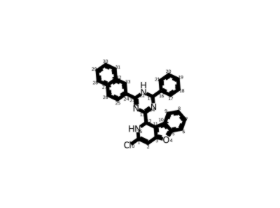 ClC1=Cc2oc3ccccc3c2C(C2=NC(c3ccccc3)NC(c3ccc4ccccc4c3)=N2)N1